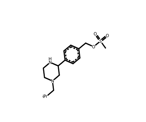 C[C](C)CN1CCNC(c2ccc(COS(C)(=O)=O)cc2)C1